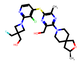 Cc1nc(N2CCC3(CC2)CO[C@@H](C)C3)c(CO)nc1Sc1ccnc(N2CC(CO)(CF)C2)c1Cl